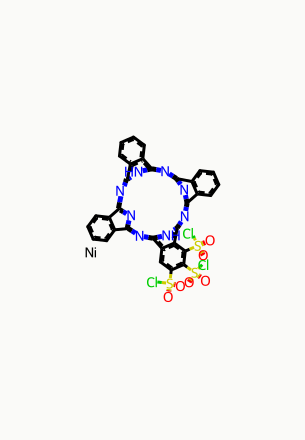 O=S(=O)(Cl)c1cc2c3nc4nc(nc5[nH]c(nc6nc(nc([nH]3)c2c(S(=O)(=O)Cl)c1S(=O)(=O)Cl)-c1ccccc1-6)c1ccccc51)-c1ccccc1-4.[Ni]